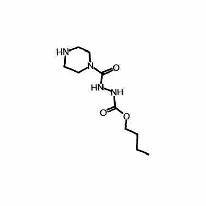 CCCCOC(=O)NNC(=O)N1CCNCC1